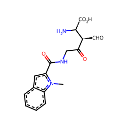 Cn1c(C(=O)NCC(=O)[C@H](C=O)C(N)C(=O)O)cc2ccccc21